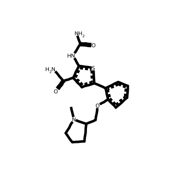 CN1CCCC1COc1ccccc1-c1cc(C(N)=O)c(NC(N)=O)s1